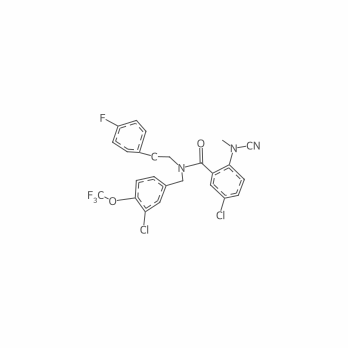 CN(C#N)c1ccc(Cl)cc1C(=O)N(CCc1ccc(F)cc1)Cc1ccc(OC(F)(F)F)c(Cl)c1